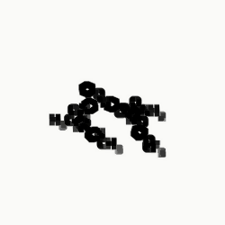 Cc1ccc(-c2nc(C)c(C(=O)N3CC[C@@H](C(=O)N4CCC(O)(Cn5cnc(Oc6cccc(OC(F)(F)F)c6)c(N)c5=O)CC4)[C@H](c4ccccc4)C3)s2)cn1